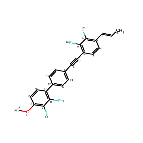 C/C=C/c1ccc(C#Cc2ccc(-c3ccc(OCC)c(F)c3F)cc2)c(F)c1F